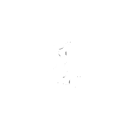 COc1c(C)cc(C(CCO)C(O)CCc2cc(C)cc(C(C)(C)C)c2OC)cc1C(C)(C)C